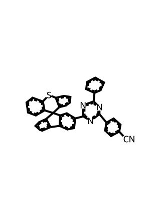 N#Cc1ccc(-c2nc(-c3ccccc3)nc(-c3ccc4c(c3)C3(c5ccccc5Sc5ccccc53)c3ccccc3-4)n2)cc1